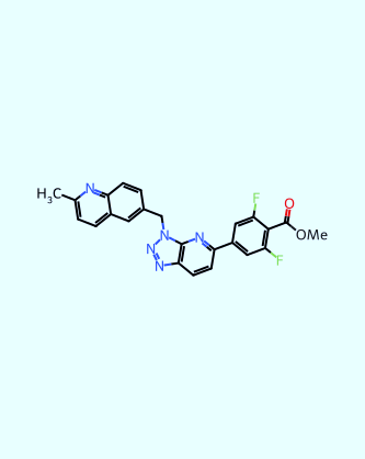 COC(=O)c1c(F)cc(-c2ccc3nnn(Cc4ccc5nc(C)ccc5c4)c3n2)cc1F